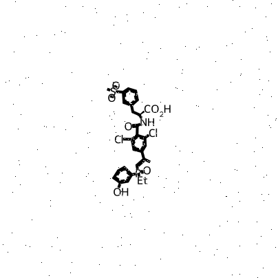 CCP(=O)(/C=C(\C)c1cc(Cl)c(C(=O)N[C@@H](Cc2cccc(S(C)(=O)=O)c2)C(=O)O)c(Cl)c1)c1cccc(O)c1